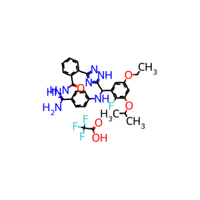 CCOc1cc(OC(C)C)c(F)c(C(Nc2ccc(C(=N)N)cc2)c2nc(-c3ccccc3C(N)=O)n[nH]2)c1.O=C(O)C(F)(F)F